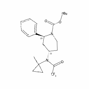 CCCCOC(=O)N1CC[C@H](N(C(=O)C(F)(F)F)C2(C)CC2)C[C@H]1c1ccccc1